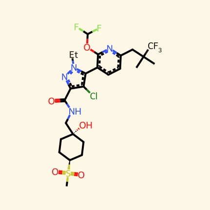 CCn1nc(C(=O)NC[C@]2(O)CC[C@H](S(C)(=O)=O)CC2)c(Cl)c1-c1ccc(CC(C)(C)C(F)(F)F)nc1OC(F)F